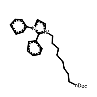 CCCCCCCCCCCCCCCCCC[n+]1ccn(-c2ccccc2)c1-c1ccccc1